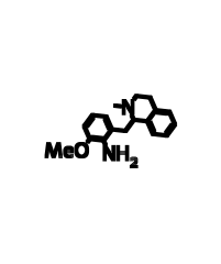 COc1cccc(CC2c3ccccc3CCN2C)c1N